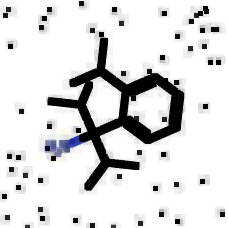 CC(C)c1ccccc1C(N)(C(C)C)C(C)C